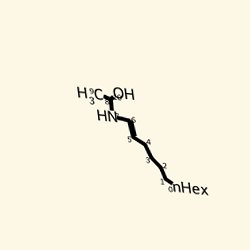 CCCCCCCCCCC=CNC(C)O